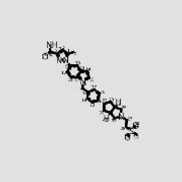 Cc1cc(C(N)=O)nn1-c1ccc2c(ccn2Cc2ccc([C@@H]3C[C@@H]4CN(CCS(C)(=O)=O)C[C@@H]4C3)cc2)c1